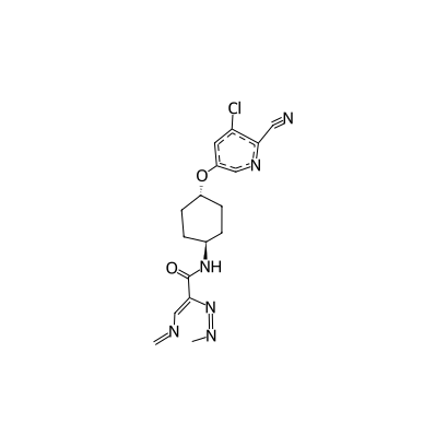 C=N/C=C(\N=N/C)C(=O)N[C@H]1CC[C@H](Oc2cnc(C#N)c(Cl)c2)CC1